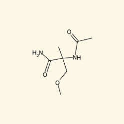 COCC(C)(NC(C)=O)C(N)=O